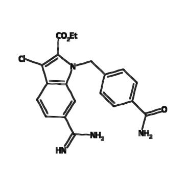 CCOC(=O)c1c(Cl)c2ccc(C(=N)N)cc2n1Cc1ccc(C(N)=O)cc1